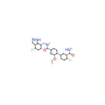 CCOc1nc(C(=O)N(C)Cc2ccc(F)c3cn[nH]c23)ccc1-c1ccc(F)c(C(=O)NC)c1